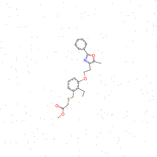 CCc1c(CSCC(=O)OC)cccc1OCCc1nc(-c2ccccc2)oc1C